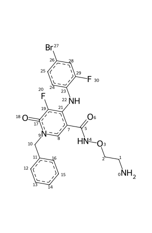 NCCONC(=O)c1cn(Cc2ccccc2)c(=O)c(F)c1Nc1ccc(Br)cc1F